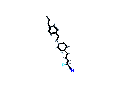 CCCc1ccc(CC[C@H]2CC[C@H](CC/C=C(\F)C#N)CC2)cc1